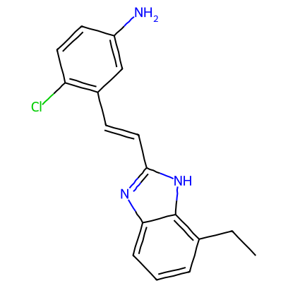 CCc1cccc2nc(/C=C/c3cc(N)ccc3Cl)[nH]c12